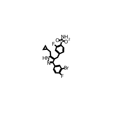 NS(=O)(=O)c1ccc(Cc2c(-c3ccc(F)c(Br)c3)n[nH]c2CC2CC2)cc1F